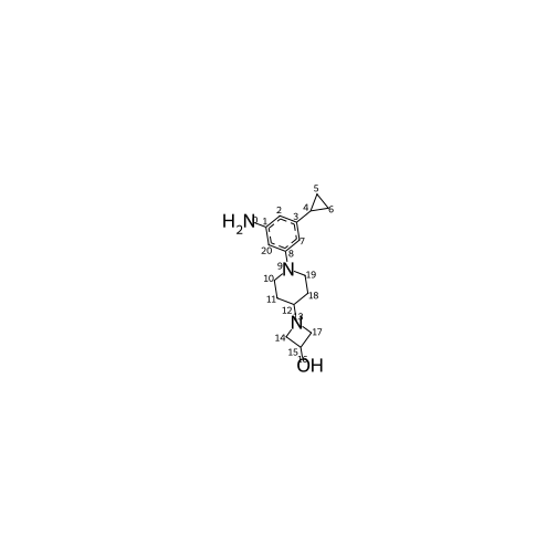 Nc1cc(C2CC2)cc(N2CCC(N3CC(O)C3)CC2)c1